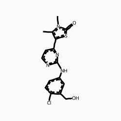 Cc1c(-c2ccnc(Nc3ccc(Cl)c(CO)c3)n2)sc(=O)n1C